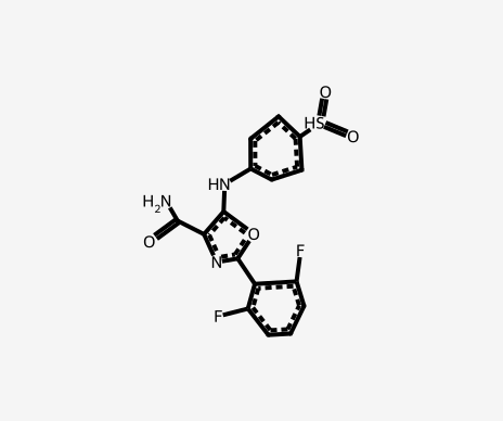 NC(=O)c1nc(-c2c(F)cccc2F)oc1Nc1ccc([SH](=O)=O)cc1